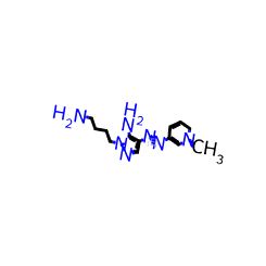 CN1C=C(/N=N/c2cnn(CCCCN)c2N)C=CC1